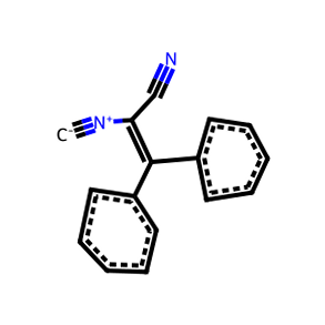 [C-]#[N+]C(C#N)=C(c1ccccc1)c1ccccc1